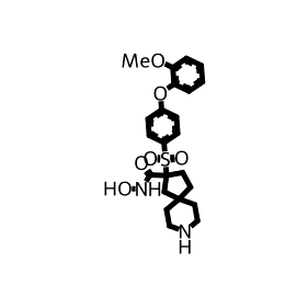 COc1ccccc1Oc1ccc(S(=O)(=O)C2(C(=O)NO)CCC3(CCNCC3)C2)cc1